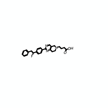 O=C(O)CCCN1CCc2nc(-c3ccc(C(F)Cc4ccccc4)cc3)ncc2C1